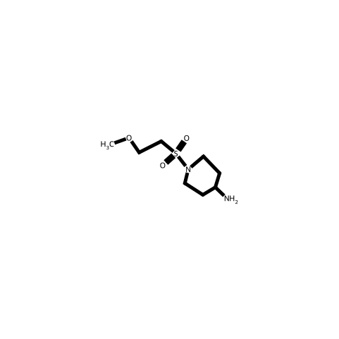 COCCS(=O)(=O)N1CCC(N)CC1